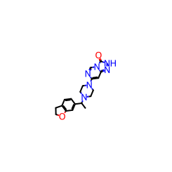 CC(c1ccc2c(c1)OCC2)N1CCN(c2cc3n[nH]c(=O)n3cn2)CC1